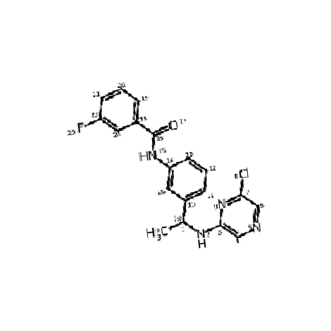 C[C@H](Nc1cncc(Cl)n1)c1cccc(NC(=O)c2cccc(F)c2)c1